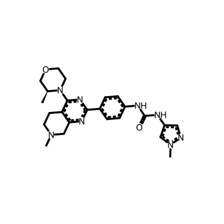 C[C@H]1COCCN1c1nc(-c2ccc(NC(=O)Nc3cnn(C)c3)cc2)nc2c1CCN(C)C2